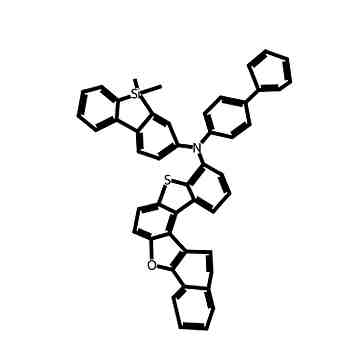 C[Si]1(C)c2ccccc2-c2ccc(N(c3ccc(-c4ccccc4)cc3)c3cccc4c3sc3ccc5oc6c7ccccc7ccc6c5c34)cc21